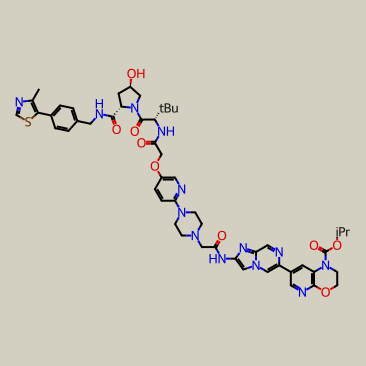 Cc1ncsc1-c1ccc(CNC(=O)[C@@H]2C[C@@H](O)CN2C(=O)[C@@H](NC(=O)COc2ccc(N3CCN(CC(=O)Nc4cn5cc(-c6cnc7c(c6)N(C(=O)OC(C)C)CCO7)ncc5n4)CC3)nc2)C(C)(C)C)cc1